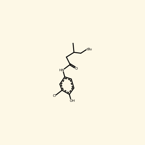 CC(CC(=O)Nc1ccc(O)c(Cl)c1)CC(C)(C)C